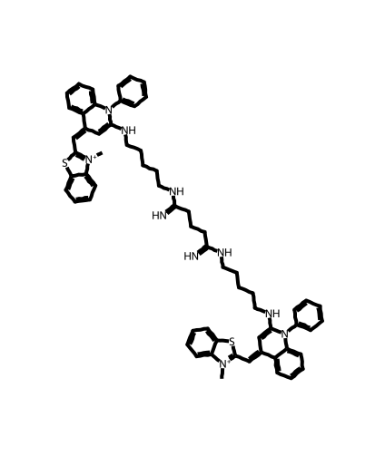 C[n+]1c(C=C2C=C(NCCCCCNC(=N)CCCC(=N)NCCCCCNC3=CC(=Cc4sc5ccccc5[n+]4C)c4ccccc4N3c3ccccc3)N(c3ccccc3)c3ccccc32)sc2ccccc21